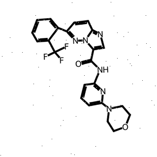 O=C(Nc1cccc(N2CCOCC2)n1)c1cnc2ccc(-c3ccccc3C(F)(F)F)nn12